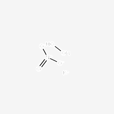 O=[N+]([O-])[O-].OO.[K+]